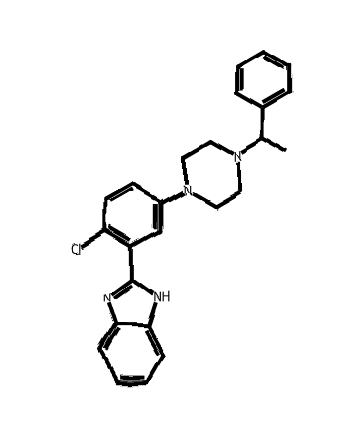 CC(c1ccccc1)N1CCN(c2ccc(Cl)c(-c3nc4ccccc4[nH]3)c2)CC1